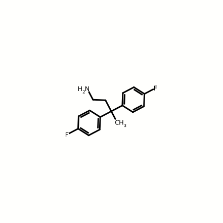 CC(CCN)(c1ccc(F)cc1)c1ccc(F)cc1